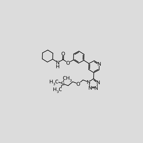 C[Si](C)(C)CCOCn1nnnc1-c1cncc(-c2cccc(OC(=O)NC3CCCCC3)c2)c1